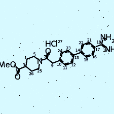 COC(=O)C1CCN(C(=O)Cc2ccc(-c3ccc(C(=N)N)cc3)cc2)CC1.Cl